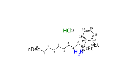 CCCCCCCCCCCCCCCCCCC(N)(CC)c1ccccc1CC.Cl